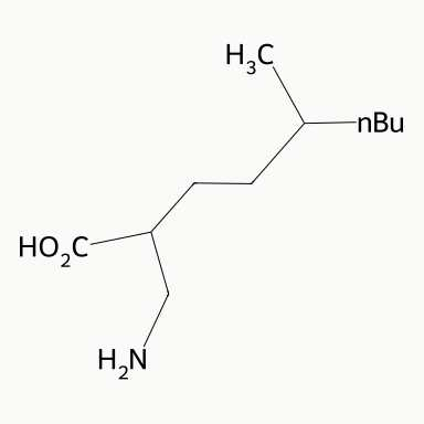 CCCCC(C)CCC(CN)C(=O)O